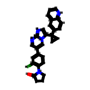 O=C1CCCN1c1ccc(-c2cnc3ncc(C4(c5ccc6ncccc6c5)CC4)n3c2)cc1F